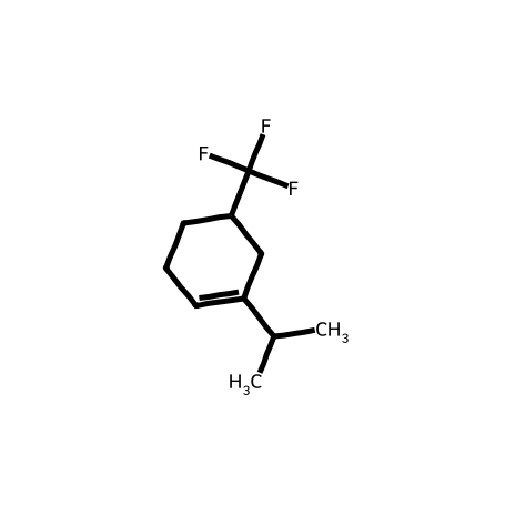 CC(C)C1=CCCC(C(F)(F)F)C1